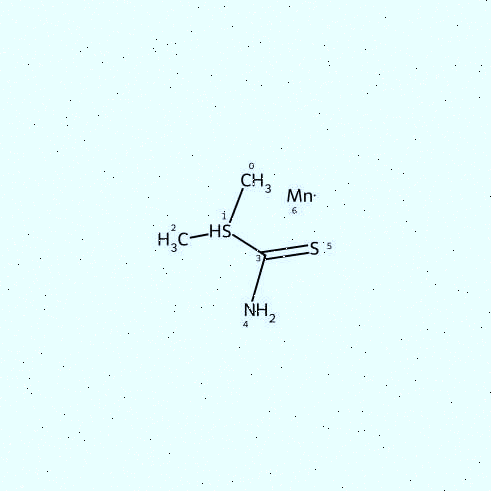 C[SH](C)C(N)=S.[Mn]